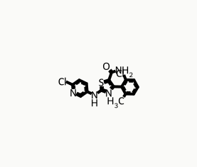 Cc1cccc(Cl)c1-c1nc(Nc2ccc(Cl)nc2)sc1C(N)=O